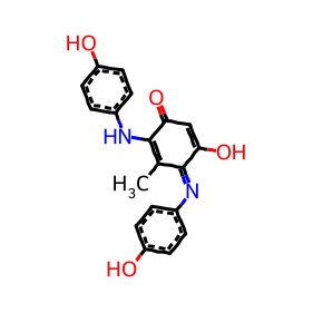 CC1=C(Nc2ccc(O)cc2)C(=O)C=C(O)/C1=N/c1ccc(O)cc1